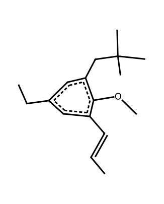 CC=Cc1cc(CC)cc(CC(C)(C)C)c1OC